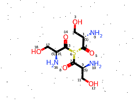 N[C@@H](CO)C(=O)[S+](C(=O)[C@@H](N)CO)C(=O)[C@@H](N)CO